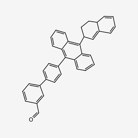 O=Cc1cccc(-c2ccc(-c3c4ccccc4c(C4C=C5C=CC=CC5CC4)c4ccccc34)cc2)c1